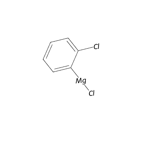 [Cl][Mg][c]1ccccc1Cl